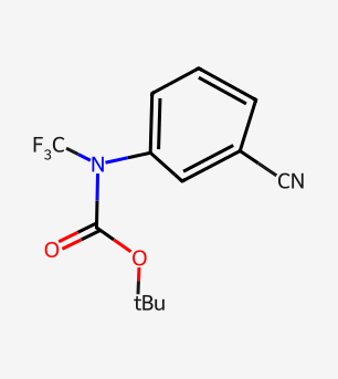 CC(C)(C)OC(=O)N(c1cccc(C#N)c1)C(F)(F)F